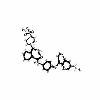 COc1cnc2c(Sc3ccc(Nc4nnc(N5CCN(S(C)(=O)=O)CC5)c5ccccc45)cc3)ccnc2c1